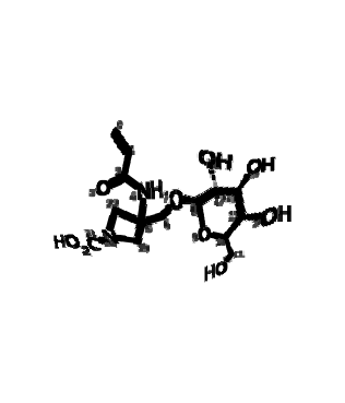 C=CC(=O)NC1(CO[C@@H]2O[C@H](CO)[C@H](O)[C@H](O)[C@H]2O)CN(C(=O)O)C1